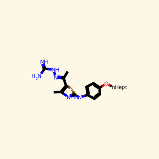 CCCCCCCOc1ccc(Nc2nc(C)c(C(C)=NNC(=N)N)s2)cc1